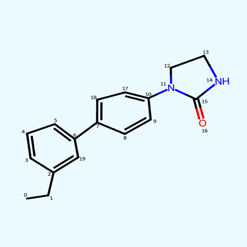 CCc1cccc(-c2ccc(N3CCNC3=O)cc2)c1